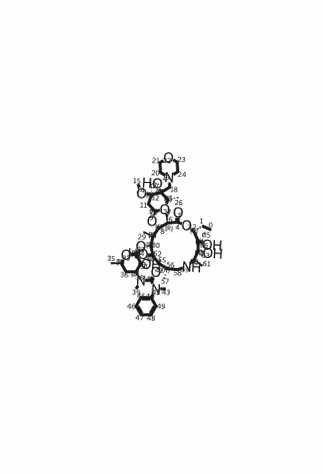 CC[C@H]1OC(=O)[C@H](C)[C@@H](O[C@H]2C[C@@](C)(OC)[C@](O)(CN3CCOCC3)[C@H](C)O2)[C@H](C)[C@@H](O[C@@H]2O[C@H](C)C[C@H](N(C)C(=O)N(C)c3ccccc3)[C@H]2O)[C@](C)(O)C[C@@H](C)CN[C@H](C)[C@@H](O)[C@]1(C)O